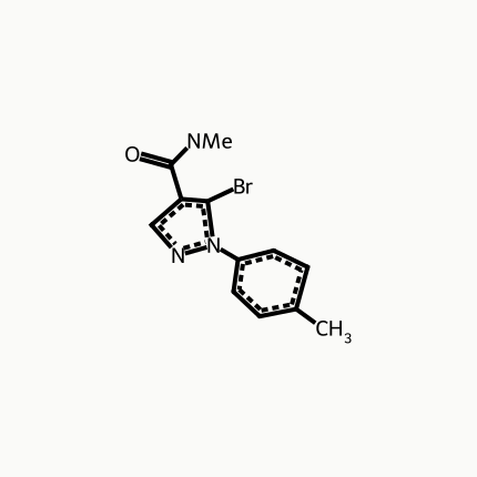 CNC(=O)c1cnn(-c2ccc(C)cc2)c1Br